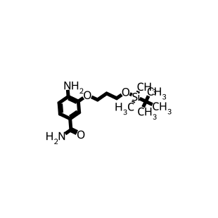 CC(C)(C)[Si](C)(C)OCCCOc1cc(C(N)=O)ccc1N